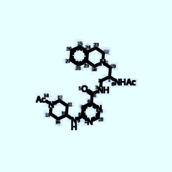 CC(=O)NC(CNC(=O)c1cc(NC2CCN(C(C)=O)CC2)ncn1)CN1CCc2ccccc2C1